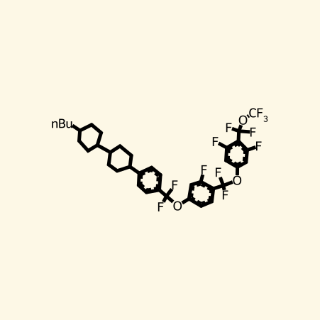 CCCCC1CCC(C2CCC(c3ccc(C(F)(F)Oc4ccc(C(F)(F)Oc5cc(F)c(C(F)(F)OC(F)(F)F)c(F)c5)c(F)c4)cc3)CC2)CC1